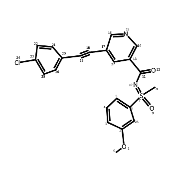 COc1cccc(S(C)(=O)=NC(=O)c2cncc(C#Cc3ccc(Cl)cc3)c2)c1